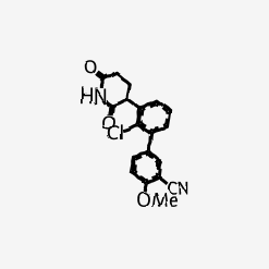 COc1ccc(-c2cccc(C3CCC(=O)NC3=O)c2Cl)cc1C#N